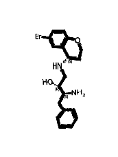 N[C@@H](Cc1ccccc1)[C@H](O)CN[C@H]1CCOc2ccc(Br)cc21